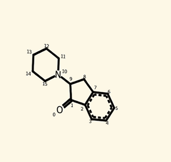 O=C1c2ccccc2CC1N1CCCCC1